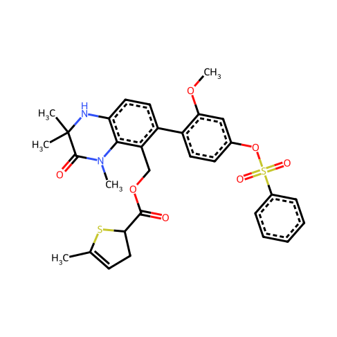 COc1cc(OS(=O)(=O)c2ccccc2)ccc1-c1ccc2c(c1COC(=O)C1CC=C(C)S1)N(C)C(=O)C(C)(C)N2